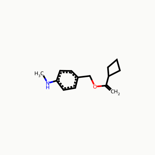 C=C(OCc1ccc(NC)cc1)C1CCC1